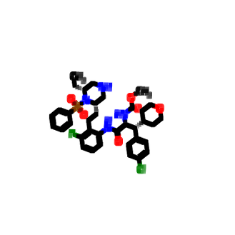 CC[C@@H]1CNC[C@H](CCc2c(F)cccc2NC(=O)[C@@H](NC(=O)OC)[C@@H](c2ccc(Cl)cc2)C2CCOCC2)N1S(=O)(=O)c1ccccc1